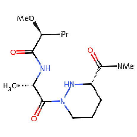 CNC(=O)[C@@H]1CCCN(C(=O)[C@H](C)NC(=O)[C@@H](OC)C(C)C)N1